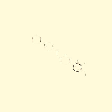 CCCC1CCC(C2CCC(COC3CCC(c4ccc(OCC)c(F)c4F)CC3)CC2)OC1